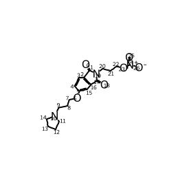 O=C1c2ccc(OCCCN3CCCC3)cc2C(=O)N1CCCO[N+](=O)[O-]